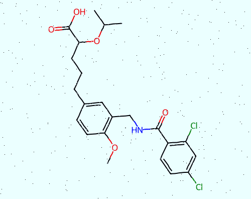 COc1ccc(CCCC(OC(C)C)C(=O)O)cc1CNC(=O)c1ccc(Cl)cc1Cl